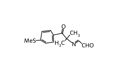 CSc1ccc(C(=O)C(C)(C)/N=C/C=O)cc1